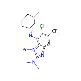 CC1CCC/C(=N/c2c(Cl)c(C(F)(F)F)cc3nc(N(C)C)n(C(C)C)c23)C1